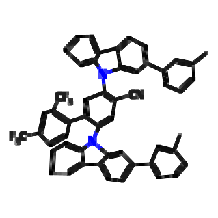 Cc1cccc(-c2ccc3c4ccccc4n(-c4cc(-c5ccc(C(F)(F)F)cc5C(F)(F)F)c(-n5c6ccccc6c6ccc(-c7cccc(C)c7)cc65)cc4C#N)c3c2)c1